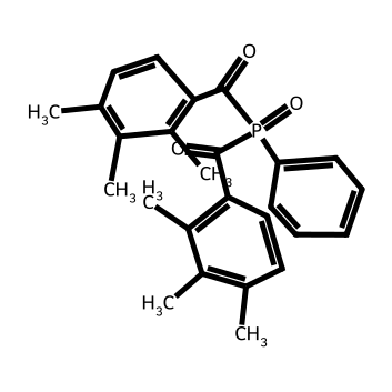 Cc1ccc(C(=O)P(=O)(C(=O)c2ccc(C)c(C)c2C)c2ccccc2)c(C)c1C